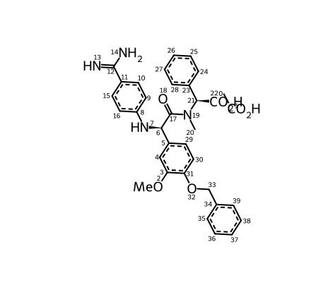 CC(=O)O.COc1cc([C@@H](Nc2ccc(C(=N)N)cc2)C(=O)N(C)[C@H](C(=O)O)c2ccccc2)ccc1OCc1ccccc1